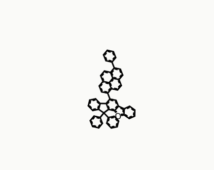 c1ccc(-c2ccc3ccc4c(-c5cc6c(oc7ccccc76)c6c5-c5ccccc5C6(c5ccccc5)c5ccccc5)ccc5ccc2c3c54)cc1